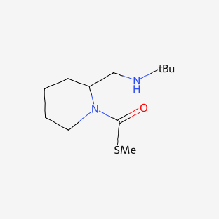 CSC(=O)N1CCCCC1CNC(C)(C)C